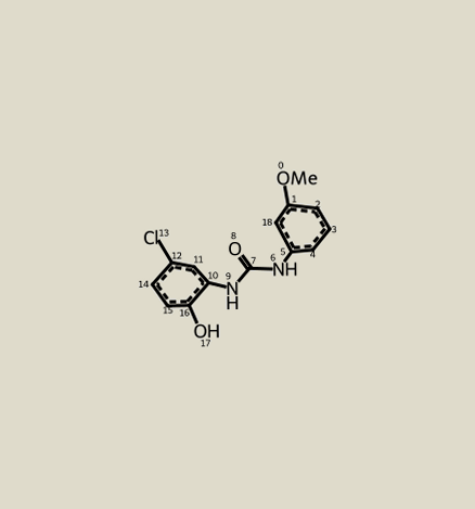 COc1cccc(NC(=O)Nc2cc(Cl)ccc2O)c1